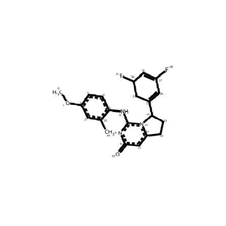 COc1ccc(Nc2nc(=O)cc3n2C(C2=CC(F)=CC(F)C2)CC3)c(C)c1